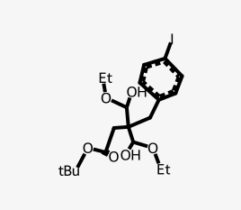 CCOC(O)C(CC(=O)OC(C)(C)C)(Cc1ccc(I)cc1)C(O)OCC